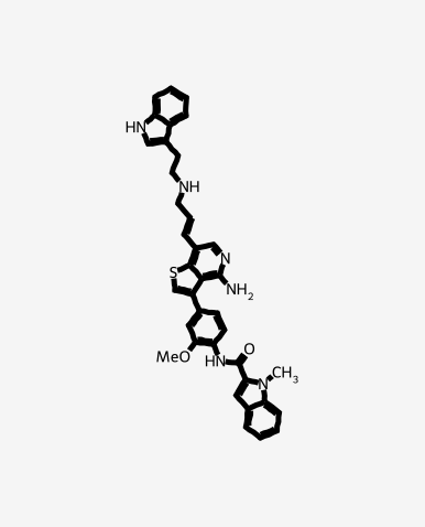 COc1cc(-c2csc3c(C=CCNCCc4c[nH]c5ccccc45)cnc(N)c23)ccc1NC(=O)c1cc2ccccc2n1C